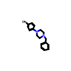 O=Nc1ccc(N2CCN(Cc3ccccc3)CC2)cc1